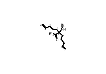 C=CCCCC(CCCC=C)(NCC)C(=O)C(C)C